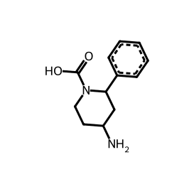 NC1CCN(C(=O)O)C(c2ccccc2)C1